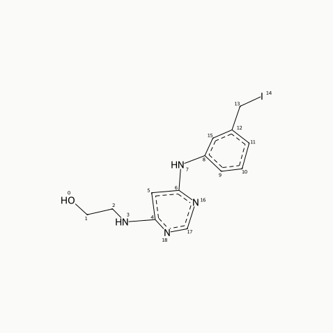 OCCNc1cc(Nc2cccc(CI)c2)ncn1